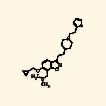 CN(C)Cc1c(OCC2CC2)ccc2c(CCC3CCN(CCc4cccs4)CC3)noc12